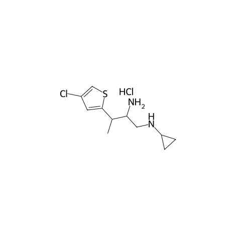 CC(c1cc(Cl)cs1)C(N)CNC1CC1.Cl